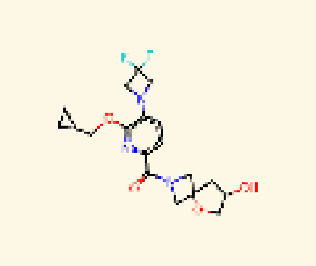 O=C(c1ccc(N2CC(F)(F)C2)c(OCC2CC2)n1)N1CC2(CC(O)CO2)C1